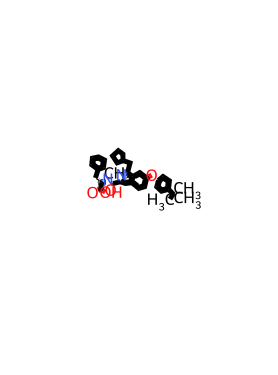 CN(C(=O)c1cc2ccc(Oc3ccc(C(C)(C)C)cc3)cc2c(CC2CCCC2)n1)[C@@H](Cc1ccccc1)C(=O)O